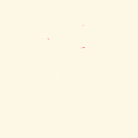 CC(C)(C)[Si](C)(C)O[C@H]1C[C@H](OCc2ccccc2)C[C@@H](O)[C@@H]1CO